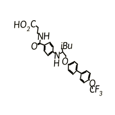 CCC(C)C(COc1ccc(-c2ccc(OC(F)(F)F)cc2)cc1)Nc1ccc(C(=O)NCCC(=O)O)cc1